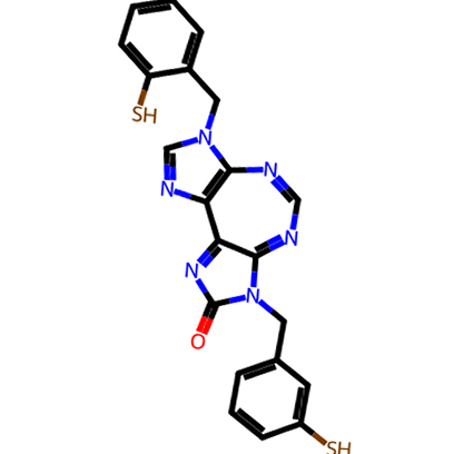 O=c1nc2c3ncn(Cc4ccccc4S)c3ncnc-2n1Cc1cccc(S)c1